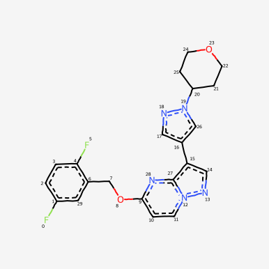 Fc1ccc(F)c(COc2ccn3ncc(-c4cnn(C5CCOCC5)c4)c3n2)c1